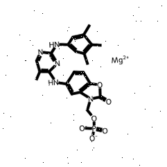 Cc1cnc(Nc2cc(C)c(C)c(C)c2)nc1Nc1ccc2oc(=O)n(COP(=O)([O-])[O-])c2c1.[Mg+2]